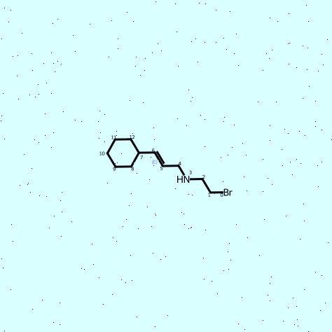 BrCCNC/C=C/C1CCCCC1